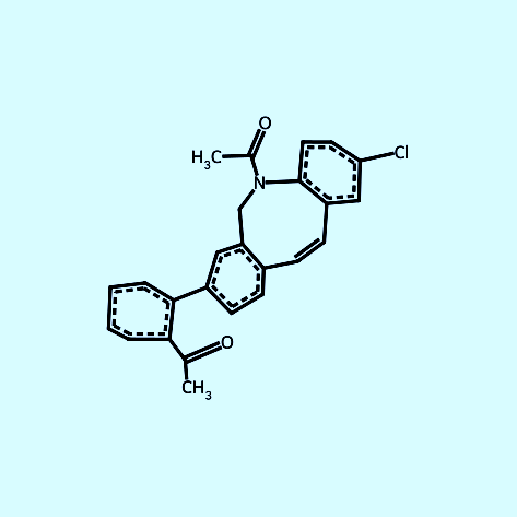 CC(=O)c1ccccc1-c1ccc2c(c1)CN(C(C)=O)c1ccc(Cl)cc1C=C2